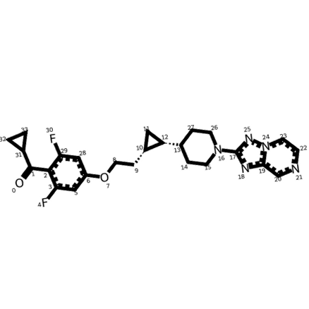 O=C(c1c(F)cc(OCC[C@@H]2C[C@@H]2C2CCN(c3nc4cnccn4n3)CC2)cc1F)C1CC1